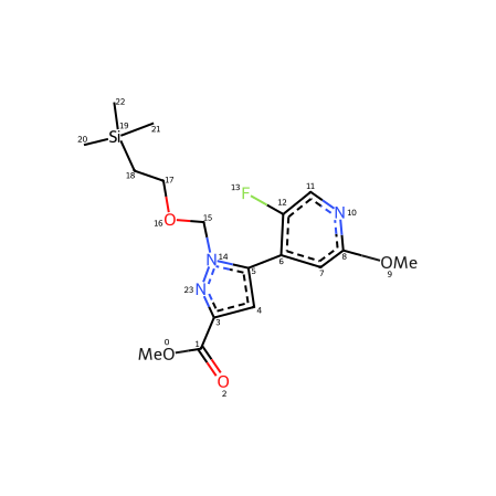 COC(=O)c1cc(-c2cc(OC)ncc2F)n(COCC[Si](C)(C)C)n1